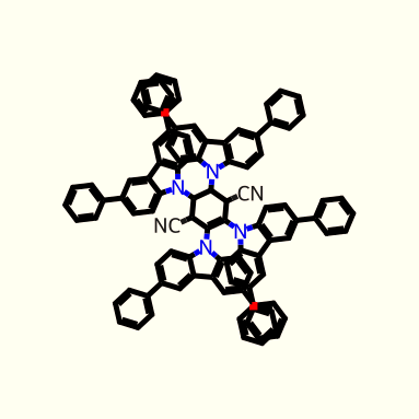 N#CC1C(n2c3ccc(-c4ccccc4)cc3c3cc(-c4ccccc4)ccc32)=C(n2c3ccc(-c4ccccc4)cc3c3cc(-c4ccccc4)ccc32)C(C#N)C(n2c3ccc(-c4ccccc4)cc3c3cc(-c4ccccc4)ccc32)C1n1c2ccc(-c3ccccc3)cc2c2cc(-c3ccccc3)ccc21